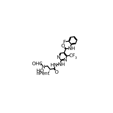 CCCCC[C@H](CN(O)C=O)C(=O)NNc1ncc(C(=O)Nc2ccccc2F)c(C(F)(F)F)n1